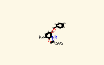 CC(=O)c1ccc(OCc2ccccc2)c2c1OCC(C=O)N2